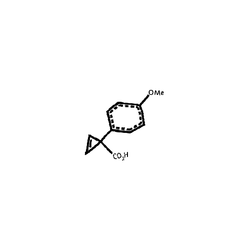 COc1ccc(C2(C(=O)O)C=C2)cc1